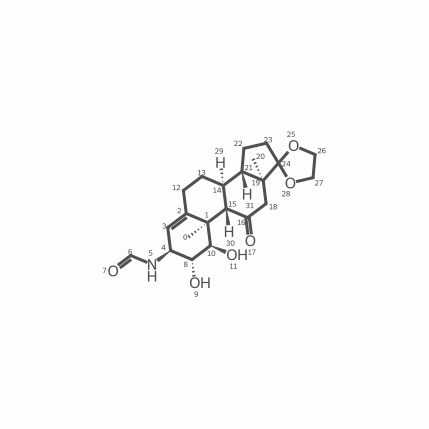 C[C@@]12C(=C[C@H](NC=O)[C@@H](O)[C@@H]1O)CC[C@@H]1[C@@H]2C(=O)C[C@@]2(C)[C@H]1CCC21OCCO1